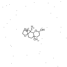 CC12CCC(O)OC1C(C)(C)C1(CC2)OCCO1